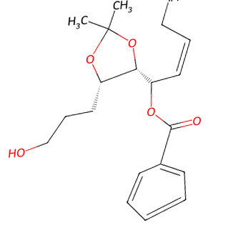 CC(C)C/C=C\C(OC(=O)c1ccccc1)[C@H]1OC(C)(C)O[C@H]1CCCO